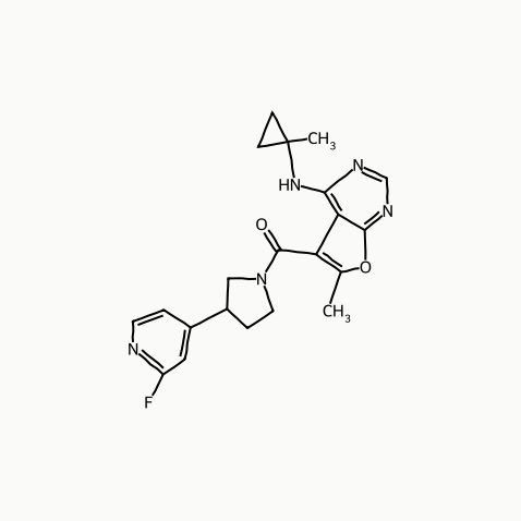 Cc1oc2ncnc(NC3(C)CC3)c2c1C(=O)N1CCC(c2ccnc(F)c2)C1